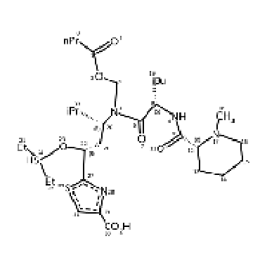 CCCC(=O)OCN(C(=O)[C@@H](NC(=O)[C@H]1CCCCN1C)C(C)CC)[C@H](C[C@@H](O[SiH](CC)CC)c1nc(C(=O)O)cs1)C(C)C